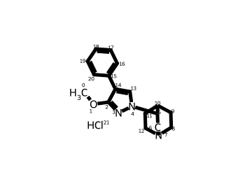 COc1nn(C2CN3CCC2CC3)cc1-c1ccccc1.Cl